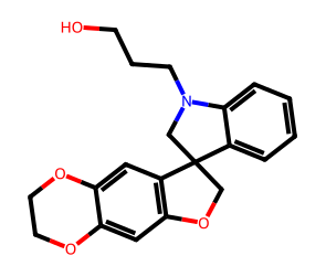 OCCCN1CC2(COc3cc4c(cc32)OCCO4)c2ccccc21